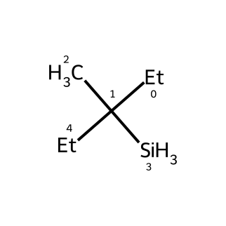 CCC(C)([SiH3])CC